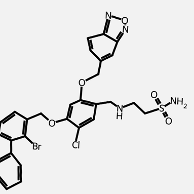 NS(=O)(=O)CCNCc1cc(Cl)c(OCc2cccc(-c3ccccc3)c2Br)cc1OCc1ccc2nonc2c1